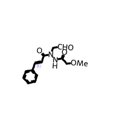 COCC(=O)NN(C[C]=O)C(=O)/C=C/c1ccccc1